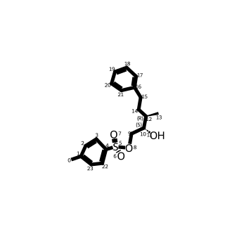 Cc1ccc(S(=O)(=O)OC[C@@H](O)[C@H](C)CCc2ccccc2)cc1